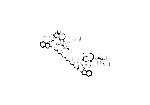 CNC(C)C(=O)N[C@H]1CCS[C@H]2CC(C)(C)[C@@H](C(=O)N[C@H]3c4ccccc4C[C@H]3OCCCCCCCCCCCCO[C@@H]3Cc4ccccc4[C@@H]3NC(=O)[C@H]3N4C(=O)[C@@H](NC(=O)C(C)NC)CCS[C@H]4CC3(C)C)N2C1=O.Cl.Cl